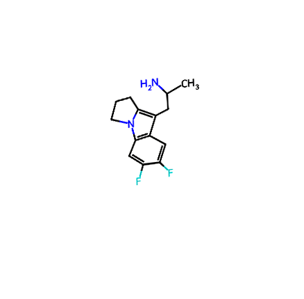 CC(N)Cc1c2n(c3cc(F)c(F)cc13)CCC2